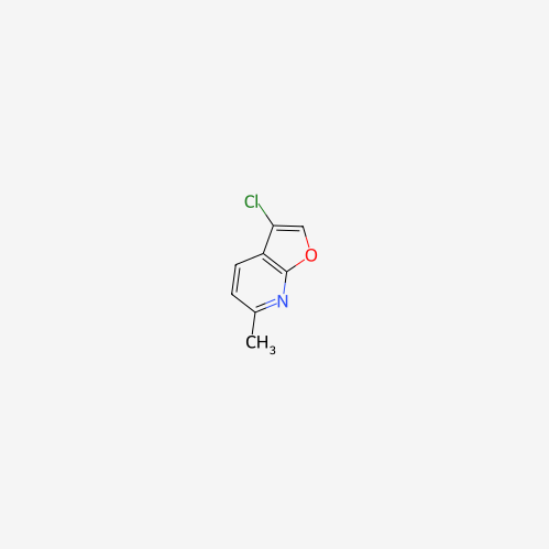 Cc1ccc2c(Cl)coc2n1